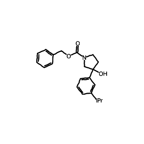 CC(C)c1cccc(C2(O)CCN(C(=O)OCc3ccccc3)C2)c1